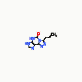 C=CCc1nnc2c3nc[nH]c3[nH]c(=O)n12